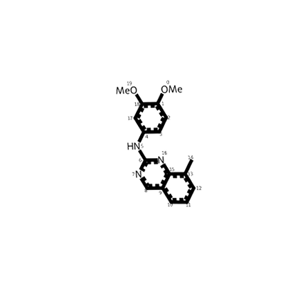 COc1ccc(Nc2ncc3cccc(C)c3n2)cc1OC